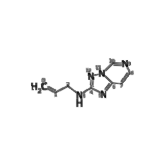 C=CCNc1nc2ccncn2n1